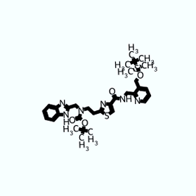 CC(C)(C)OC(=O)N(CCc1nc(C(=O)NCc2ncccc2CO[Si](C)(C)C(C)(C)C)cs1)Cc1nc2ccccc2[nH]1